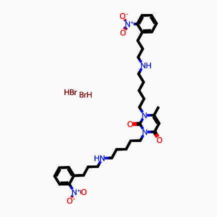 Br.Br.Cc1cc(=O)n(CCCCCNCCCc2ccccc2[N+](=O)[O-])c(=O)n1CCCCCNCCCc1ccccc1[N+](=O)[O-]